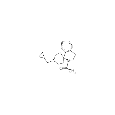 CC(=O)N1CCc2ccccc2C12CCN(CC1CC1)CC2